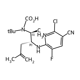 C=C(C)C[C@@H](Nc1nc(Cl)c(C#N)cc1F)[C@H](C)N(C(=O)O)C(C)(C)C